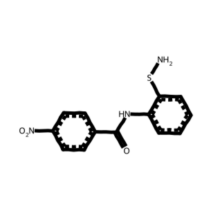 NSc1ccccc1NC(=O)c1ccc([N+](=O)[O-])cc1